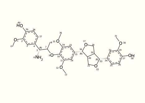 COc1cc([C@@H](N)C(C)Oc2c(OC)cc([C@@H]3OCC4C3CO[C@H]4c3ccc(O)c(OC)c3)cc2OC)ccc1O